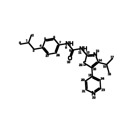 CC(C)Cc1ccc(NC(=O)Nc2nc(C(C)C)c(-c3ccncc3)s2)cc1